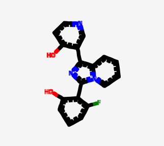 Oc1ccncc1-c1nc(-c2c(O)cccc2F)n2ccccc12